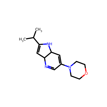 CC(C)C1=CC2N=CC(N3CCOCC3)=CC2N1